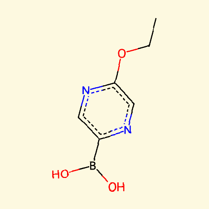 CCOc1cnc(B(O)O)cn1